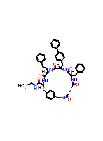 O=C(O)CNC(=O)[C@@H]1Cc2ccc(cc2)NC(=O)CCC(=O)N[C@H](Cc2ccccc2)C(=O)N[C@@H](Cc2ccc(-c3ccccc3)cc2)C(=O)N[C@H](CCc2ccccc2)C(=O)N1